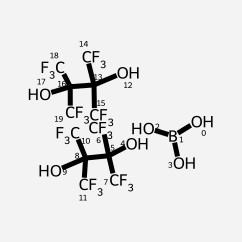 OB(O)O.OC(C(F)(F)F)(C(F)(F)F)C(O)(C(F)(F)F)C(F)(F)F.OC(C(F)(F)F)(C(F)(F)F)C(O)(C(F)(F)F)C(F)(F)F